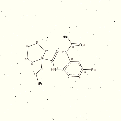 CC(C)CCC1(C(=O)Nc2ccc(F)cc2SC(=O)C(C)(C)C)CCCCC1